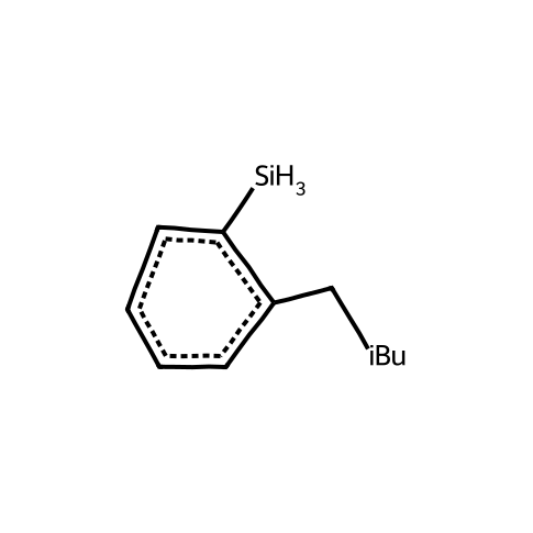 CCC(C)Cc1ccccc1[SiH3]